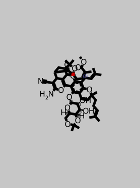 COC(=O)/C(C)=C\CC12OC(C)(C)C3CC(C1=O)C1C(C#N)=C(N)OC4=C1C32Oc1c(CC=C(C)C)c2c(c(O[C@@H]3O[C@@H]5COC(C)(C)O[C@H]5[C@H](O)[C@H]3O)c14)C=CC(C)(CCC=C(C)C)O2